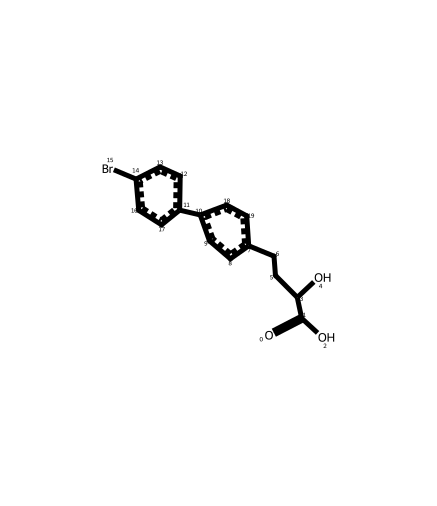 O=C(O)C(O)CCc1ccc(-c2ccc(Br)cc2)cc1